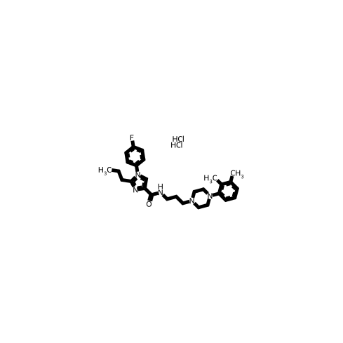 CCCc1nc(C(=O)NCCCN2CCN(c3cccc(C)c3C)CC2)cn1-c1ccc(F)cc1.Cl.Cl